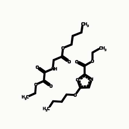 CCCCOC(=O)CNC(=O)C(=O)OCC.CCCCOc1cnc(C(=O)OCC)o1